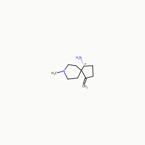 C=C1CC[C@@H](N)C12CCN(C)CC2